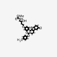 COC(=O)NCC(O)CCOc1ccc([C@H]2C3=C(CCN2C(=O)Oc2ccc(C)cc2)C2C=C(Cl)C=CC2N3)cc1